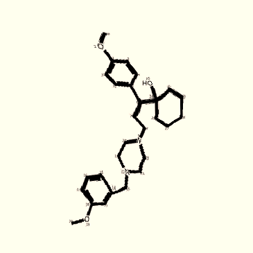 COc1ccc(C(CCN2CCN(Cc3cccc(OC)c3)CC2)C2(O)CCCCC2)cc1